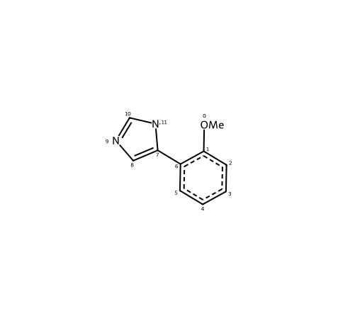 COc1ccccc1C1=CN=C[N]1